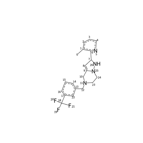 Cc1cccnc1C1C=C2CN(Cc3cccc(C(F)(F)F)c3)CCN2N1